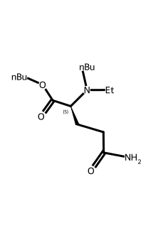 CCCCOC(=O)[C@H](CCC(N)=O)N(CC)CCCC